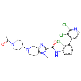 CC(=O)N1CCC(N2CCc3c(nc(C(=O)Nc4cccc(-c5ccnc(Cl)c5Cl)c4Cl)n3C)C2)CC1